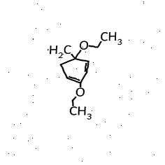 [CH2]C1(OCC)C=CC(OCC)=CC1